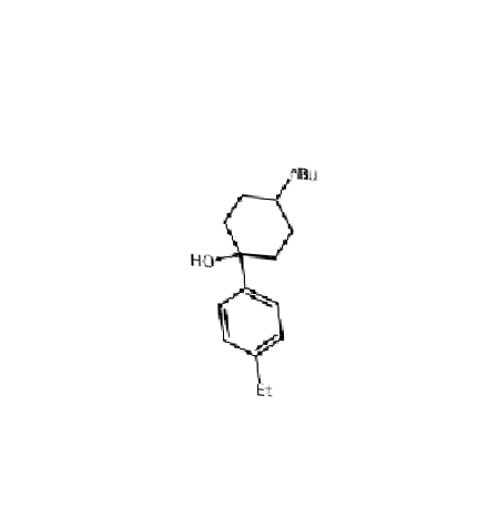 CCCCC1CCC(O)(c2ccc(CC)cc2)CC1